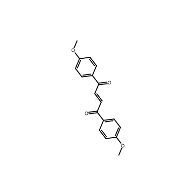 COc1ccc(C(=O)/C=C/C(=O)c2ccc(OC)cc2)cc1